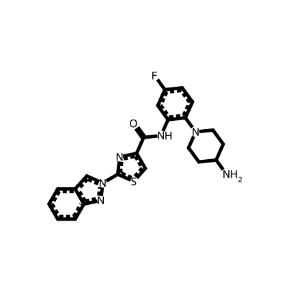 NC1CCN(c2ccc(F)cc2NC(=O)c2csc(-n3cc4ccccc4n3)n2)CC1